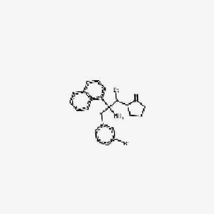 CCC(C1CCCN1)C(N)(Cc1cccc(Br)c1)c1cccc2ccccc12